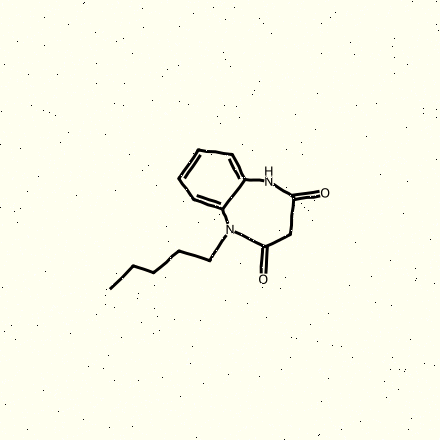 CCCCCN1C(=O)CC(=O)Nc2ccccc21